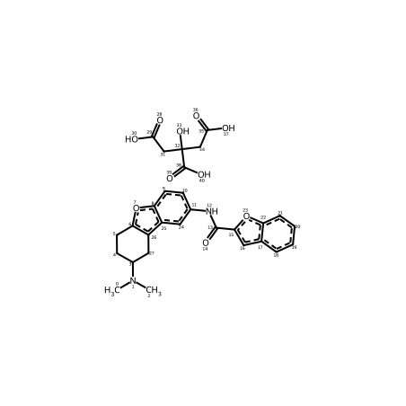 CN(C)C1CCc2oc3ccc(NC(=O)c4cc5ccccc5o4)cc3c2C1.O=C(O)CC(O)(CC(=O)O)C(=O)O